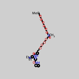 CCN(CC)c1ccc(NC(=O)c2cccc(CCCOCCOCCOCCOCCC(=O)N(C)CCOCCOCCOCCOCCOCCOCCOC)c2)c(-c2cc(C(=O)N[C@H]3CCCc4ccccc43)ccn2)c1